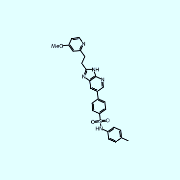 COc1ccnc(CCc2nc3cc(-c4ccc(S(=O)(=O)Nc5ccc(C)cc5)cc4)cnc3[nH]2)c1